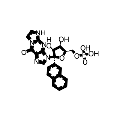 O=c1c2ncn([C@]3(c4ccc5ccccc5c4)O[C@H](COP(=O)(O)O)[C@@H](O)[C@H]3O)c2nc2[nH]ccn12